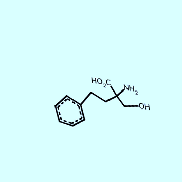 NC(CO)(CCc1ccccc1)C(=O)O